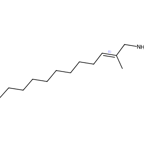 CCCCCCCCC/C=C(\C)CN